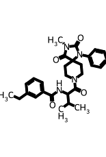 CCc1cccc(C(=O)NC(C(=O)N2CCC3(CC2)C(=O)N(C)C(=O)N3c2ccccc2)C(C)C)c1